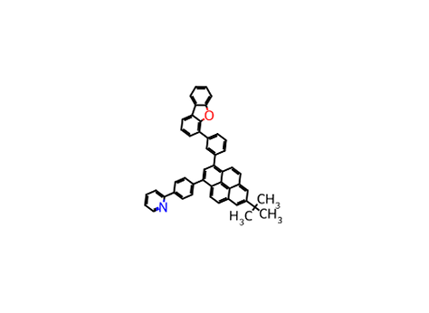 CC(C)(C)c1cc2ccc3c(-c4ccc(-c5ccccn5)cc4)cc(-c4cccc(-c5cccc6c5oc5ccccc56)c4)c4ccc(c1)c2c34